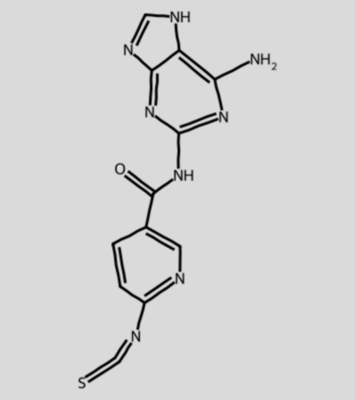 Nc1nc(NC(=O)c2ccc(N=C=S)nc2)nc2nc[nH]c12